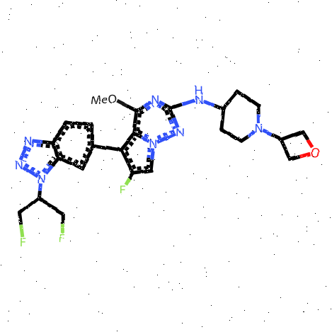 COc1nc(NC2CCN(C3COC3)CC2)nn2cc(F)c(-c3ccc4nnn(C(CF)CF)c4c3)c12